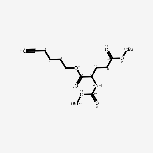 C#CCCCCOC(=O)C(CCC(=O)OC(C)(C)C)NC(=O)OC(C)(C)C